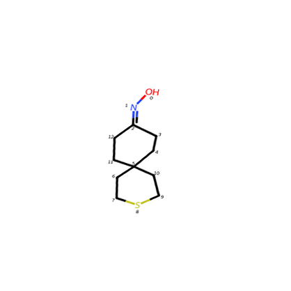 ON=C1CCC2(CCSCC2)CC1